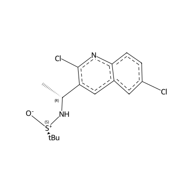 C[C@@H](N[S@+]([O-])C(C)(C)C)c1cc2cc(Cl)ccc2nc1Cl